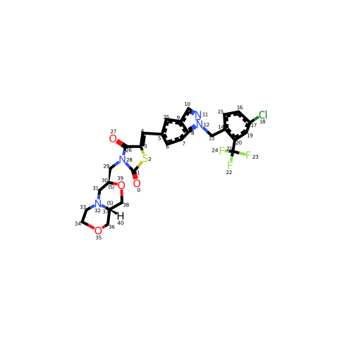 O=C1SC(=Cc2ccc3c(cnn3Cc3ccc(Cl)cc3C(F)(F)F)c2)C(=O)N1C[C@@H]1CN2CCOC[C@H]2CO1